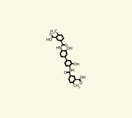 Cc1ccc(C(=O)Nc2ccc(-c3ccc(NC(=O)c4ccc(C)c(C(=O)O)c4)c(O)c3)cc2O)cc1C(=O)O